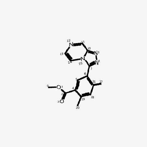 COC(=O)c1cc(-c2nnc3cnccn23)c(C)cc1C